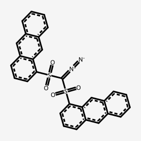 [N-]=[N+]=C(S(=O)(=O)c1cccc2cc3ccccc3cc12)S(=O)(=O)c1cccc2cc3ccccc3cc12